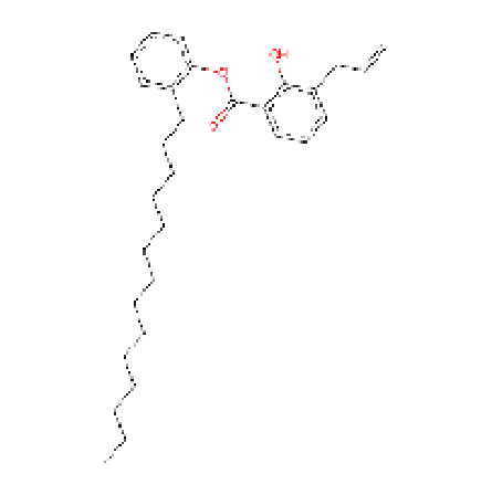 C=CCc1cccc(C(=O)Oc2ccccc2CCCCCCCCCCCCCC)c1O